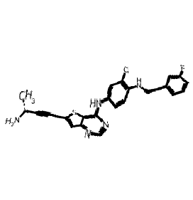 C[C@@H](N)C#Cc1cc2ncnc(Nc3ccc(NCc4cccc(F)c4)c(Cl)c3)c2s1